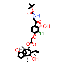 C=C[C@]1(C)C[C@@H](OC(=O)COc2ccc3c(c2Cl)B(O)OC3CNC(=O)OC(C)(C)C)[C@]2(C)[C@H](C)CC[C@]3(CCC(=O)[C@H]32)[C@@H](C)[C@@H]1O